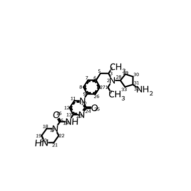 CCN(C(C)Cc1ccc(-n2ccc(NC(=O)N3CCNCC3)nc2=O)cc1)C1CCC(N)C1